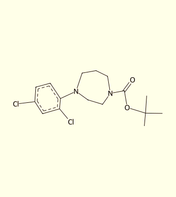 CC(C)(C)OC(=O)N1CCCN(c2ccc(Cl)cc2Cl)CC1